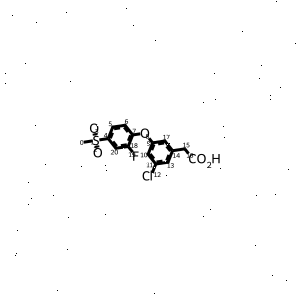 CS(=O)(=O)c1ccc(Oc2cc(Cl)cc(CC(=O)O)c2)c(F)c1